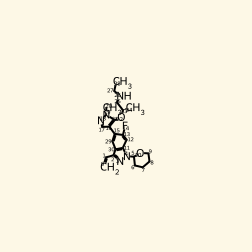 C=Cc1nn(C2CCCCO2)c2cc(F)c(-c3cnn(C)c3O[C@@H](C)CNCC)cc12